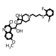 COc1ccc2ncc(Cl)c([C@@H](O)CCC3(C(=O)O)CCN(CCCSc4c(F)cccc4F)CC3)c2c1